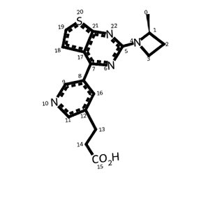 C[C@H]1CCN1c1nc(-c2cncc(CCC(=O)O)c2)c2ccsc2n1